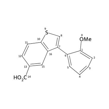 COc1ccccc1-c1csc2ccc(C(=O)O)cc12